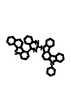 c1ccc(-n2c3ccccc3c3c4c5ccccc5n(-c5nc(-c6cccc7sc8c9ccccc9ccc8c67)c6ccccc6n5)c4ccc32)cc1